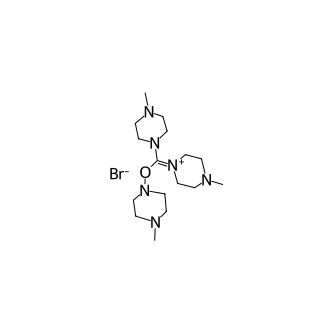 CN1CCN(OC(N2CCN(C)CC2)=[N+]2CCN(C)CC2)CC1.[Br-]